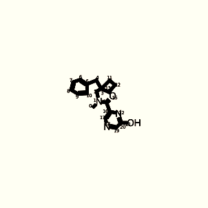 CN(CC1(Cc2ccccc2)CCC1)C(=O)c1cncc(O)n1